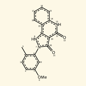 COc1ccc(C)c(-n2[nH]c3c(c(=O)[nH]c4ccccc43)c2=O)c1